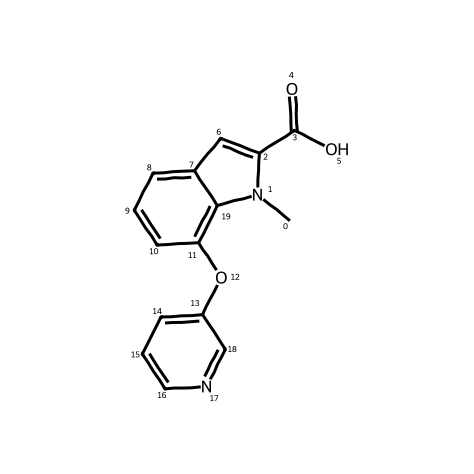 Cn1c(C(=O)O)cc2cccc(Oc3cccnc3)c21